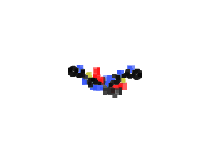 O=C(NC(NC(=O)c1ncc2nc(-c3cnc4ccccc4c3)sc2c1O)C(=O)O)c1ncc2nc(-c3cnc4ccccc4c3)sc2c1O